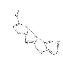 COc1ccc2nc3oc4ccccc4c3cc2c1